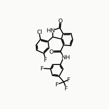 O=C(Nc1cc(F)cc(C(F)(F)F)c1)c1cccc2c1C(c1cc(F)ccc1Cl)NC2=O